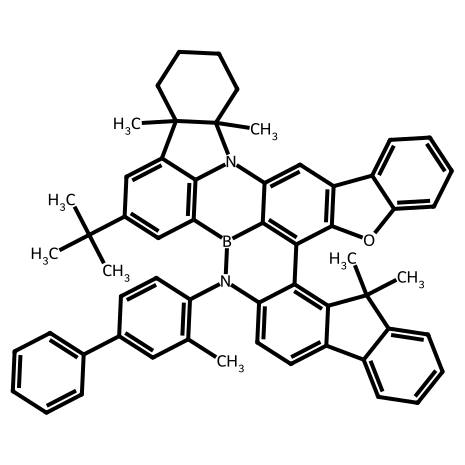 Cc1cc(-c2ccccc2)ccc1N1B2c3cc(C(C)(C)C)cc4c3N(c3cc5c(oc6ccccc65)c(c32)-c2c1ccc1c2C(C)(C)c2ccccc2-1)C1(C)CCCCC41C